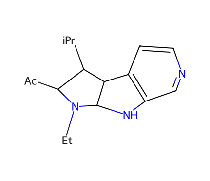 CCN1C2Nc3cnccc3C2C(C(C)C)C1C(C)=O